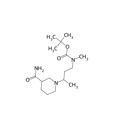 CC(CCN(C)C(=O)OC(C)(C)C)N1CCCC(C(N)=O)C1